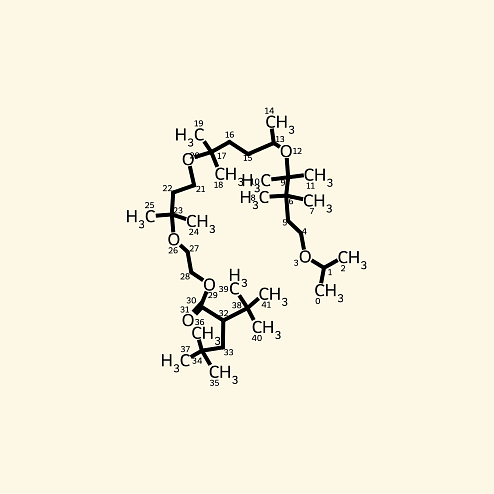 CC(C)OCCC(C)(C)C(C)(C)OC(C)CCC(C)(C)OCCC(C)(C)OCCOC(=O)C(CC(C)(C)C)C(C)(C)C